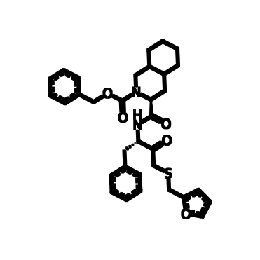 O=C(CSCc1ccco1)[C@H](Cc1ccccc1)NC(=O)[C@@H]1CC2CCCCC2CN1C(=O)OCc1ccccc1